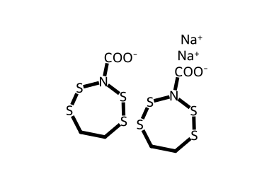 O=C([O-])N1SSCCSS1.O=C([O-])N1SSCCSS1.[Na+].[Na+]